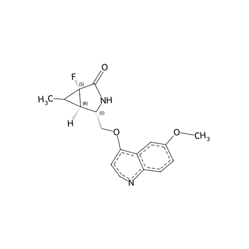 COc1ccc2nccc(OC[C@H]3NC(=O)[C@]4(F)C(C)[C@H]34)c2c1